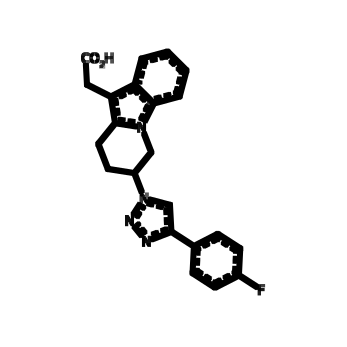 O=C(O)Cc1c2n(c3ccccc13)CC(n1cc(-c3ccc(F)cc3)nn1)CC2